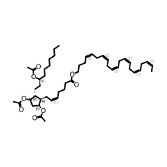 C/C=C\C/C=C\C/C=C\C/C=C\C/C=C\C/C=C\CCCOC(=O)CCC/C=C\C[C@@H]1[C@@H](CC[C@H](CCCCCCC)OC(C)=O)[C@H](OC(C)=O)C[C@@H]1OC(C)=O